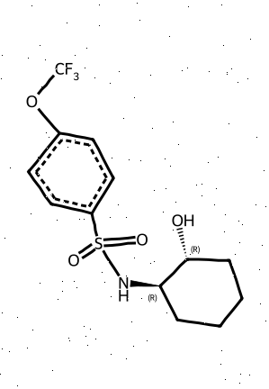 O=S(=O)(N[C@@H]1CCCC[C@H]1O)c1ccc(OC(F)(F)F)cc1